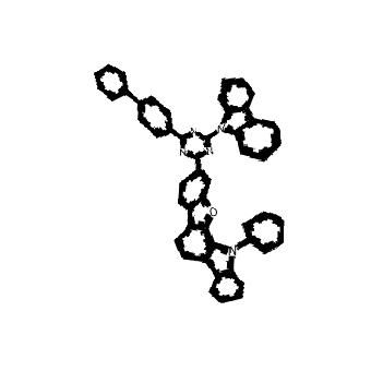 c1ccc(-c2ccc(-c3nc(-c4ccc5c(c4)oc4c5ccc5c6ccccc6n(-c6ccccc6)c54)nc(-n4c5ccccc5c5ccccc54)n3)cc2)cc1